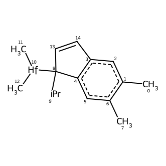 Cc1cc2c(cc1C)[C](C(C)C)([Hf]([CH3])[CH3])C=C2